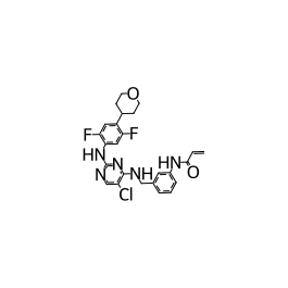 C=CC(=O)Nc1cccc(CNc2nc(Nc3cc(F)c(C4CCOCC4)cc3F)ncc2Cl)c1